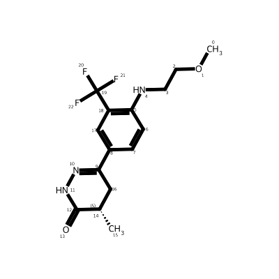 COCCNc1ccc(C2=NNC(=O)[C@@H](C)C2)cc1C(F)(F)F